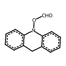 O=CON1c2ccccc2Cc2ccccc21